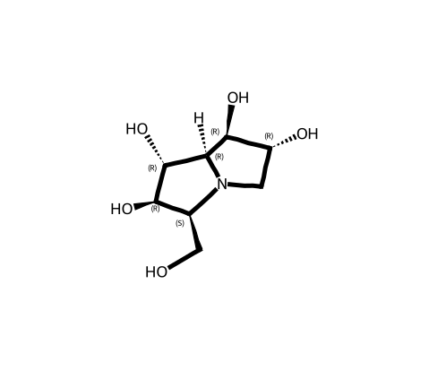 OC[C@H]1[C@@H](O)[C@H](O)[C@H]2[C@@H](O)[C@H](O)CN21